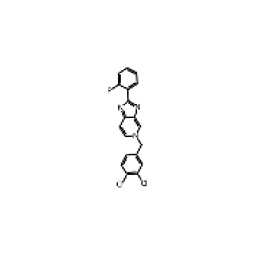 Fc1ccccc1-c1nc2ccn(Cc3ccc(Cl)c(Cl)c3)cc-2n1